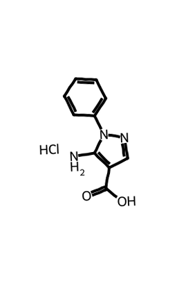 Cl.Nc1c(C(=O)O)cnn1-c1ccccc1